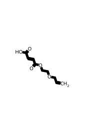 C=CCOCCOC(=O)C=CC(=O)O